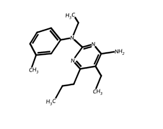 CCCc1nc(N(CC)c2cccc(C)c2)nc(N)c1CC